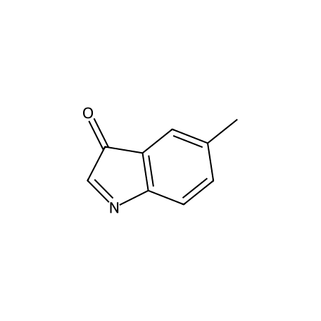 Cc1ccc2c(c1)C(=O)C=N2